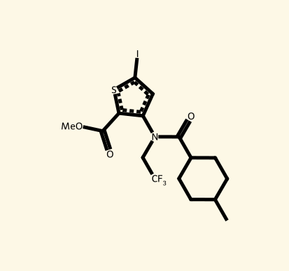 COC(=O)c1sc(I)cc1N(CC(F)(F)F)C(=O)C1CCC(C)CC1